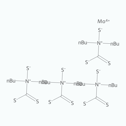 CCCC[N+]([S-])(CCCC)C(=S)[S-].CCCC[N+]([S-])(CCCC)C(=S)[S-].CCCC[N+]([S-])(CCCC)C(=S)[S-].CCCC[N+]([S-])(CCCC)C(=S)[S-].[Mo+4]